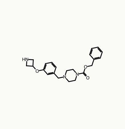 O=C(OCc1ccccc1)N1CCN(Cc2cccc(OC3CNC3)c2)CC1